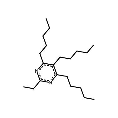 C[CH]c1nc(CCCCC)c(CCCCC)c(CCCCC)n1